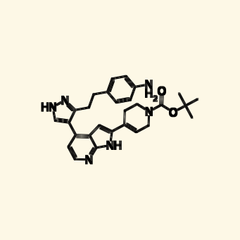 CC(C)(C)OC(=O)N1CC=C(c2cc3c(-c4c[nH]nc4CCc4ccc(N)cc4)ccnc3[nH]2)CC1